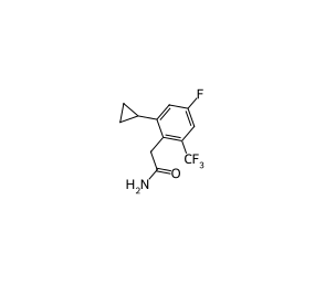 NC(=O)Cc1c(C2CC2)cc(F)cc1C(F)(F)F